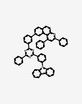 c1ccc(-c2cc(-c3ccccc3)c3c(ccc4ccc(-c5cccc(-c6nc(-c7ccccc7)nc(-c7cccc(-n8c9ccccc9c9ccccc98)c7)n6)c5)cc43)n2)cc1